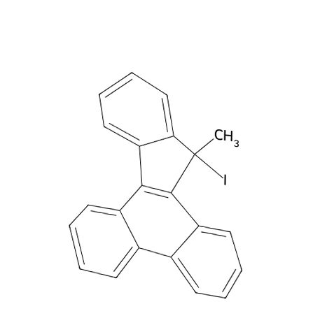 CC1(I)c2ccccc2-c2c1c1ccccc1c1ccccc21